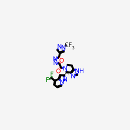 O=C(c1nnc(-c2cnn(C(F)(F)F)c2)o1)N1CCc2[nH]cnc2[C@@H]1c1cc2c(C(F)F)cccn2n1